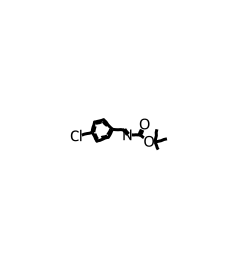 CC(C)(C)OC(=O)N=Cc1ccc(Cl)cc1